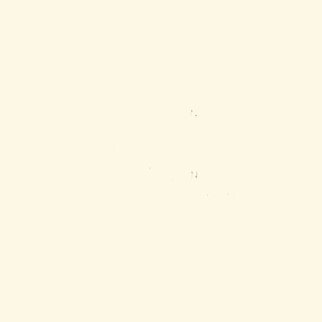 CCC(=O)SSc1ncccc1N1C(=O)CCC1=O